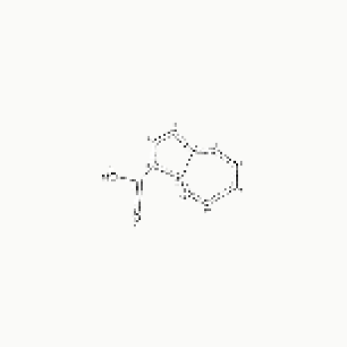 O=C(O)c1ccc2cccccc1-2